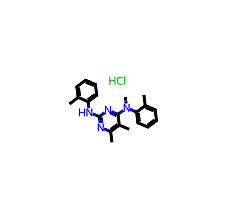 Cc1ccccc1Nc1nc(C)c(C)c(N(C)c2ccccc2C)n1.Cl